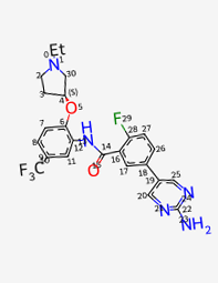 CCN1CC[C@H](Oc2ccc(C(F)(F)F)cc2NC(=O)c2cc(-c3cnc(N)nc3)ccc2F)C1